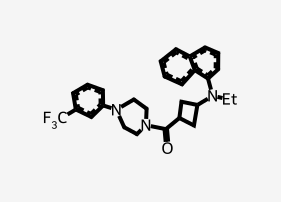 CCN(c1cccc2ccccc12)C1CC(C(=O)N2CCN(c3cccc(C(F)(F)F)c3)CC2)C1